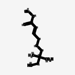 CC(C)(C)OC(=O)/C=C/COCC(C)(CO)C(=O)O